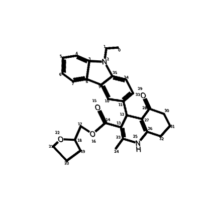 CCn1c2ccccc2c2cc(C3C(C(=O)OCC4CCCO4)=C(C)NC4=C3C(=O)CCC4)ccc21